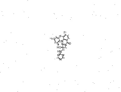 O=C(c1ccc(F)c(F)c1Nc1ccc(I)cc1F)N1CC(O)(CNc2ncncn2)C1